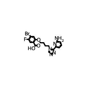 Nc1cccc(-c2nncn2CCCCOc2cc(Br)c(F)cc2C(=O)O)n1